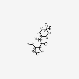 CCc1nonc1C(=O)N(C)C1CCC(F)(F)CC1